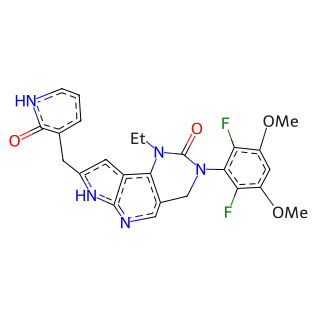 CCN1C(=O)N(c2c(F)c(OC)cc(OC)c2F)Cc2cnc3[nH]c(Cc4ccc[nH]c4=O)cc3c21